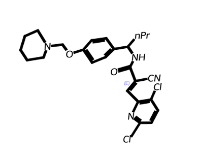 CCCC(NC(=O)/C(C#N)=C/c1nc(Cl)ccc1Cl)c1ccc(OCN2CCCCC2)cc1